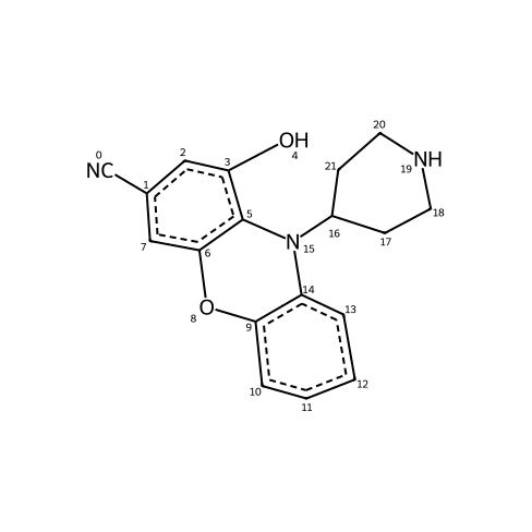 N#Cc1cc(O)c2c(c1)Oc1ccccc1N2C1CCNCC1